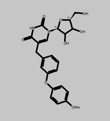 COc1ccc(Oc2cccc(Cc3cn([C@H]4O[C@@H](CO)C(O)C4O)c(=O)[nH]c3=S)c2)cc1